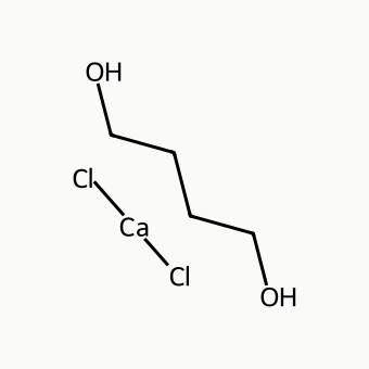 OCCCCO.[Cl][Ca][Cl]